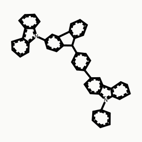 c1ccc(-n2c3ccccc3c3cc(-c4ccc(C5c6ccccc6-c6cc(-n7c8ccccc8c8ccccc87)ccc65)cc4)ccc32)cc1